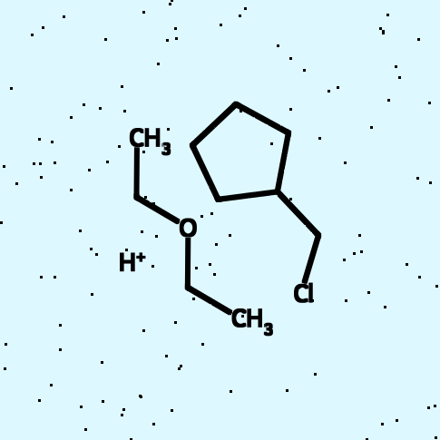 CCOCC.ClCC1CCCC1.[H+]